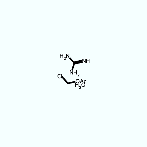 CC(=O)OCCl.N=C(N)N.O